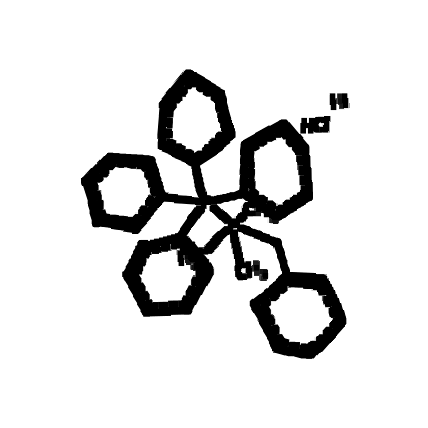 CP(C)(C)(Cc1ccccc1)P(c1ccccc1)(c1ccccc1)(c1ccccc1)c1ccccc1.Cl.I